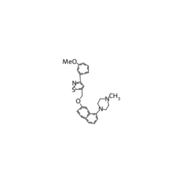 COc1cccc(-c2cc(COc3ccc4cccc(N5CCN(C)CC5)c4c3)sn2)c1